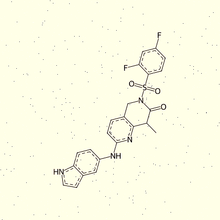 CC1C(=O)N(S(=O)(=O)c2ccc(F)cc2F)Cc2ccc(Nc3ccc4[nH]ccc4c3)nc21